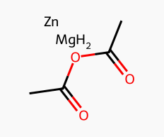 CC(=O)OC(C)=O.[MgH2].[Zn]